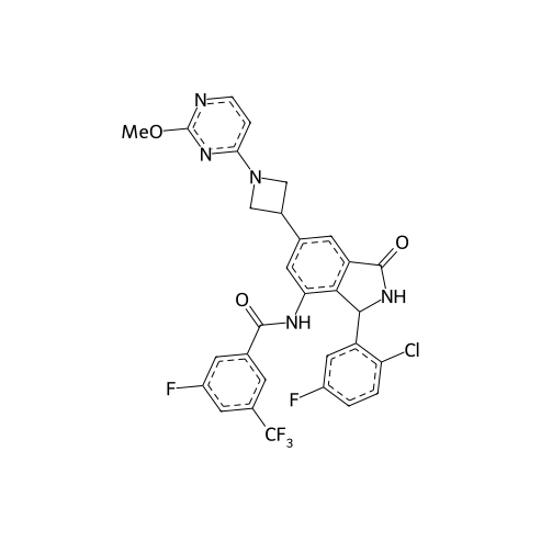 COc1nccc(N2CC(c3cc(NC(=O)c4cc(F)cc(C(F)(F)F)c4)c4c(c3)C(=O)NC4c3cc(F)ccc3Cl)C2)n1